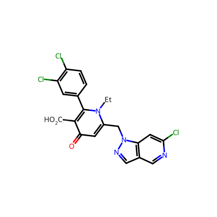 CCn1c(Cn2ncc3cnc(Cl)cc32)cc(=O)c(C(=O)O)c1-c1ccc(Cl)c(Cl)c1